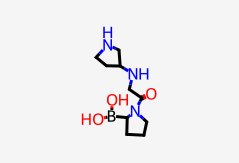 O=C(CNC1CCNC1)N1CCCC1B(O)O